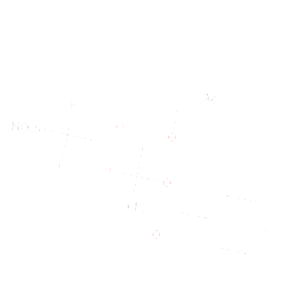 CC(=O)COC(=O)C(OCC(F)(F)S(=O)(=O)O)(OC(=O)C1CCCCC1)C(F)(F)F